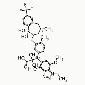 CCn1nnc2c(C)c([C@H](c3ccc(C)c(CN4C[C@@H](C)Cc5cc(C(F)(F)F)ccc5S4(O)O)c3)C(C)(C)C(=O)O)cc(OC)c21